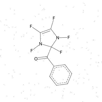 O=C(c1ccccc1)C1(F)N(F)C(F)=C(F)N1F